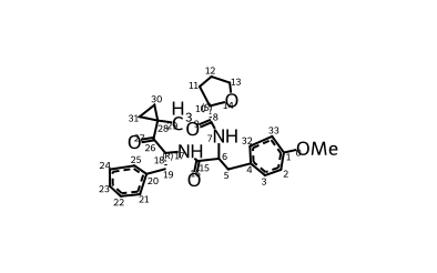 COc1ccc(CC(NC(=O)[C@@H]2CCCO2)C(=O)N[C@H](Cc2ccccc2)C(=O)C2(C)CC2)cc1